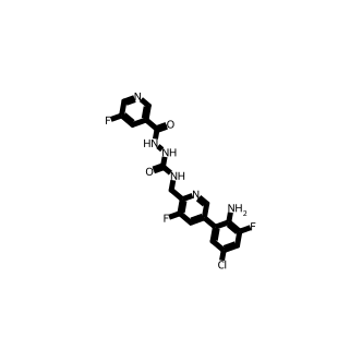 Nc1c(F)cc(Cl)cc1-c1cnc(CNC(=O)NNC(=O)c2cncc(F)c2)c(F)c1